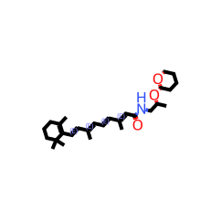 CC1=C(/C=C/C(C)=C/C=C/C(C)=C/C(=O)NCC(C)OC2CCCCO2)C(C)(C)CCC1